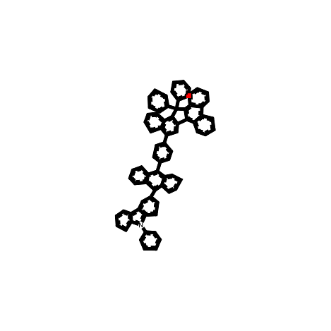 c1ccc(-n2c3ccccc3c3cc(-c4c5ccccc5c(-c5ccc(-c6cc7c(c8ccccc68)C(c6ccccc6)(c6ccccc6)c6c-7c7ccccc7c7ccccc67)cc5)c5ccccc45)ccc32)cc1